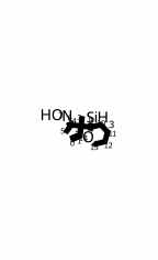 C=CC(C)(C(C)=NO)C1([SiH3])CCCCO1